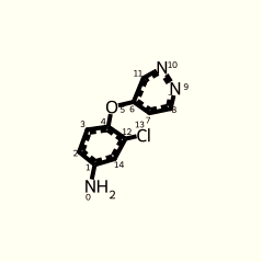 Nc1ccc(Oc2ccnnc2)c(Cl)c1